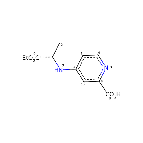 CCOC(=O)[C@H](C)Nc1ccnc(C(=O)O)c1